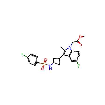 COC(=O)Cn1c(C)c(C2CC(NS(=O)(=O)c3ccc(F)cc3)C2)c2cc(F)ccc21